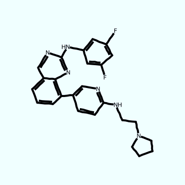 Fc1cc(F)cc(Nc2ncc3cccc(-c4ccc(NCCN5CCCC5)nc4)c3n2)c1